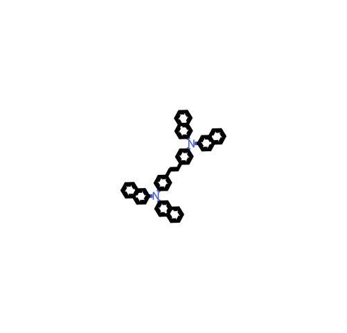 C(=Cc1ccc(N(c2ccc3ccccc3c2)c2ccc3ccccc3c2)cc1)c1ccc(N(c2ccc3ccccc3c2)c2ccc3ccccc3c2)cc1